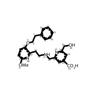 COc1ccc(OCCc2ccccc2)c(CCNCc2cc(C(=O)O)cc(CO)n2)n1